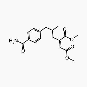 COC(=O)/C=C(/CC(C)Cc1ccc(C(N)=O)cc1)C(=O)OC